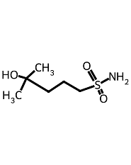 CC(C)(O)CCCS(N)(=O)=O